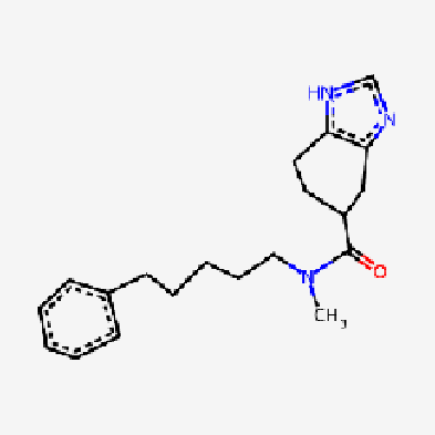 CN(CCCCCc1ccccc1)C(=O)C1CCc2[nH]cnc2C1